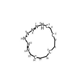 C1CCCCCN/N=N/N=N\N=N\CCCC1